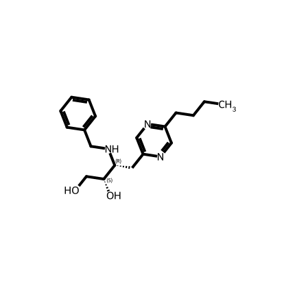 CCCCc1cnc(C[C@@H](NCc2ccccc2)[C@H](O)CO)cn1